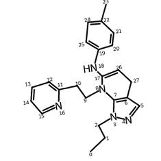 CCCn1ncc2c1N(CCc1ccccn1)C(Nc1ccc(C)cc1)=CC2